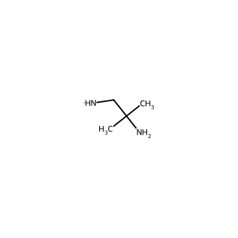 CC(C)(N)C[NH]